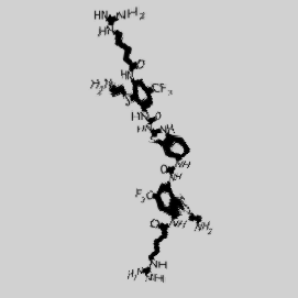 N=C(N)NCCCCC(=O)Nc1cc(C(F)(F)F)cc(NC(=O)Nc2ccc3c(c2)SC(NC(=O)Nc2cc(C(F)(F)F)cc(NC(=O)CCCCNC(=N)N)c2SCCN)N3)c1SCCN